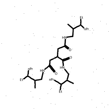 CCCC(CC)C(C)CNC(=O)CC(CC(=O)NCC(C)C(CC)CCC)C(=O)NCC(C)C(CC)CCC